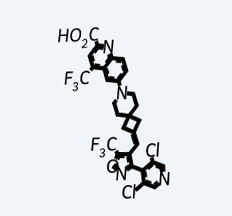 O=C(O)c1cc(C(F)(F)F)c2cc(N3CCC4(CC3)CC(=Cc3c(-c5c(Cl)cncc5Cl)noc3C(F)(F)F)C4)ccc2n1